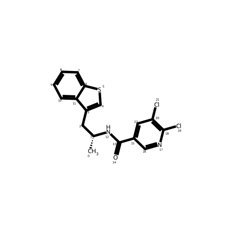 C[C@H](Cc1csc2ccccc12)NC(=O)c1cnc(Cl)c(Cl)c1